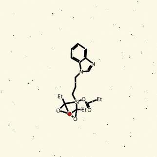 CCC(=O)O[Si](CCCn1cnc2ccccc21)(C1(CC)OO1)C1(CC)OO1